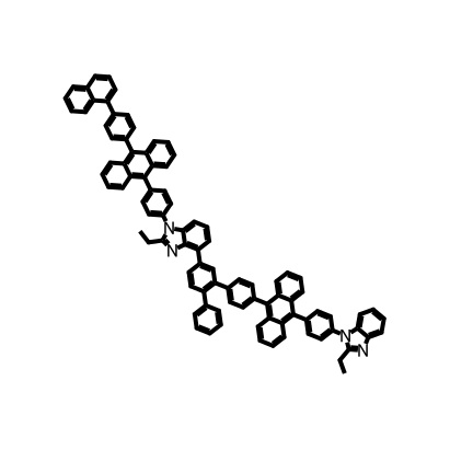 CCc1nc2ccccc2n1-c1ccc(-c2c3ccccc3c(-c3ccc(-c4cc(-c5cccc6c5nc(CC)n6-c5ccc(-c6c7ccccc7c(-c7ccc(-c8cccc9ccccc89)cc7)c7ccccc67)cc5)ccc4-c4ccccc4)cc3)c3ccccc23)cc1